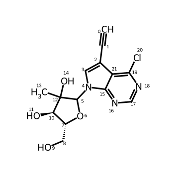 C#Cc1cn(C2O[C@H](CO)[C@@H](O)C2(C)O)c2ncnc(Cl)c12